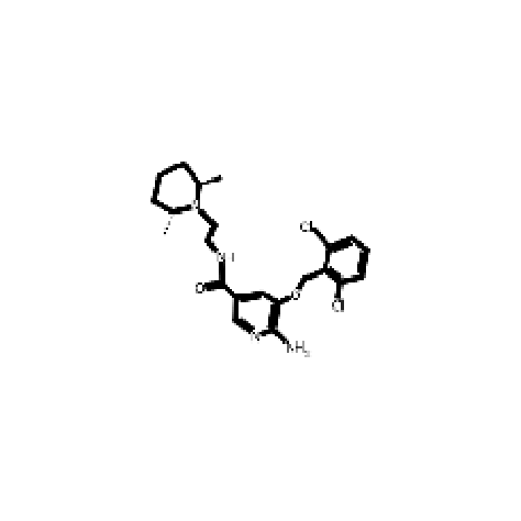 C[C@@H]1CCC[C@@H](C)N1CCNC(=O)c1cnc(N)c(OCc2c(Cl)cccc2Cl)c1